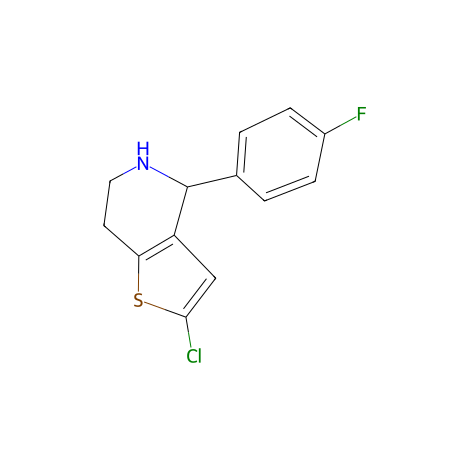 Fc1ccc(C2NCCc3sc(Cl)cc32)cc1